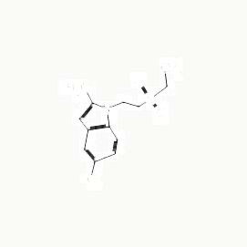 [CH2]c1cc2cc(Cl)ccc2n1CCS(=O)(=O)CC